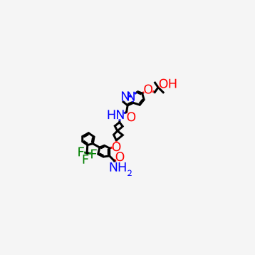 CC(C)(O)COc1ccc2c(C(=O)NC3CC4(C3)CC(Oc3cc(-c5ccccc5C(F)(F)F)ccc3C(N)=O)C4)cnn2c1